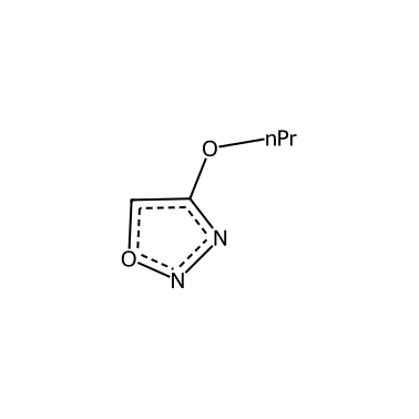 CCCOc1conn1